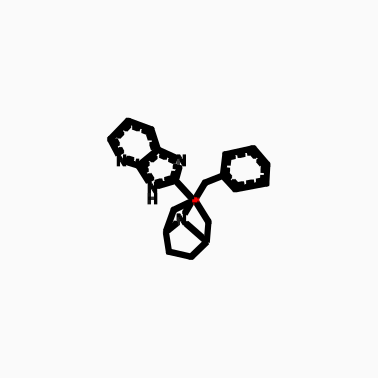 c1ccc(CC2CC3CCC(C2)N3Cc2nc3cccnc3[nH]2)cc1